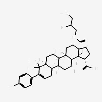 C=C(C)[C@@H]1CC[C@]2(C(=O)NCC(O)CN)CC[C@]3(C)[C@H](CC[C@@H]4[C@@]5(C)CC=C(c6ccc(C(=O)O)cc6)C(C)(C)[C@@H]5CC[C@]43C)[C@@H]12